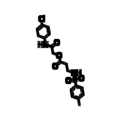 Cc1ccc(S(=O)(=O)NCCC(=O)OCC(=O)NC2C=CC(Cl)=CC2)cc1